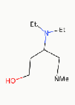 CCN(CC)C(CCO)CNC